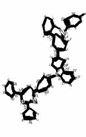 Cc1ccc(-n2c3ccccc3c3cc(-c4ccc5c(c4)c4ccccc4n5-c4ccc(-c5cc(-c6ccccc6)nc(-c6ccccc6)n5)cc4)ccc32)cc1